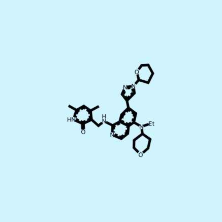 CCN(c1cc(-c2cnn(C3CCCCO3)c2)cc2c(NCc3c(C)cc(C)[nH]c3=O)nccc12)C1CCOCC1